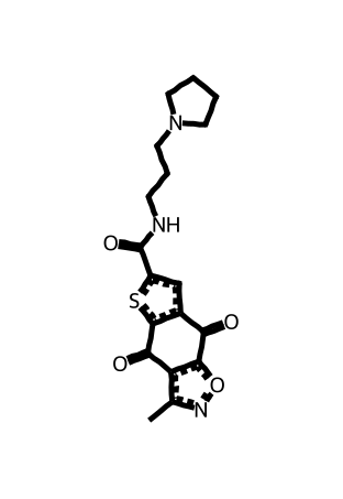 Cc1noc2c1C(=O)c1sc(C(=O)NCCCN3CCCC3)cc1C2=O